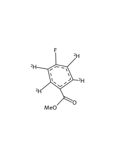 [2H]c1c([2H])c(C(=O)OC)c([2H])c([2H])c1F